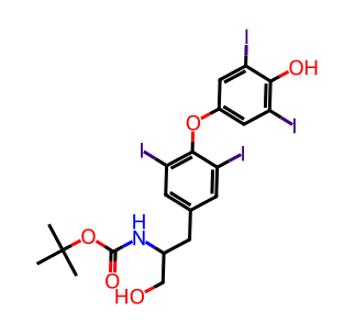 CC(C)(C)OC(=O)NC(CO)Cc1cc(I)c(Oc2cc(I)c(O)c(I)c2)c(I)c1